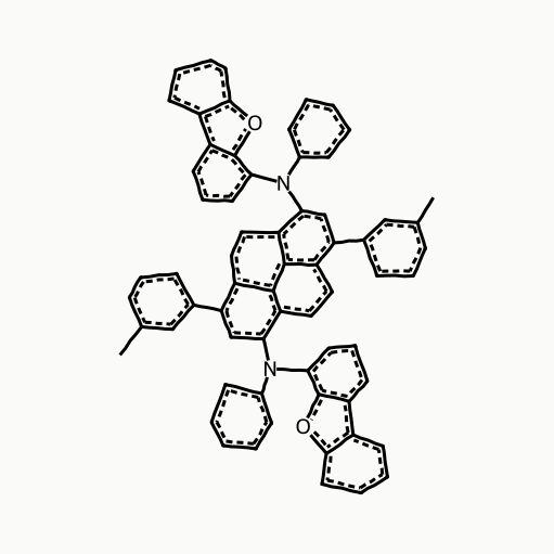 Cc1cccc(-c2cc(N(c3ccccc3)c3cccc4c3oc3ccccc34)c3ccc4c(-c5cccc(C)c5)cc(N(c5ccccc5)c5cccc6c5oc5ccccc56)c5ccc2c3c45)c1